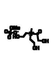 COS(=O)(=O)[O-].C[N+](CCO)(CCO)C(=O)CO